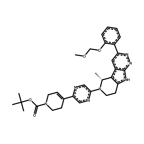 COCOc1ccccc1-c1cc2c3c([nH]c2nn1)CCN(c1cnc(C2=CCN(C(=O)OC(C)(C)C)CC2)cn1)[C@@H]3C